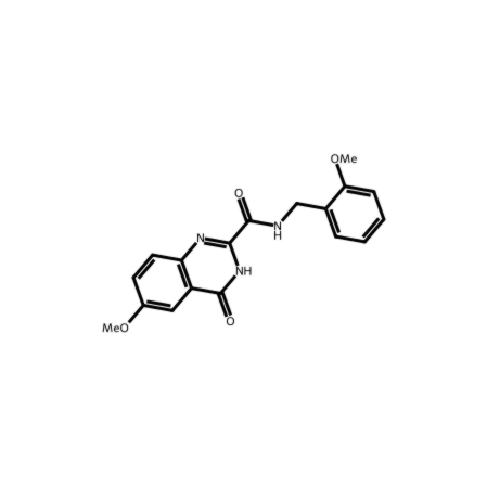 COc1ccc2nc(C(=O)NCc3ccccc3OC)[nH]c(=O)c2c1